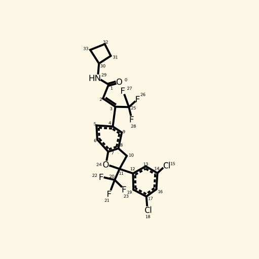 O=C(/C=C(/c1ccc2c(c1)CC(c1cc(Cl)cc(Cl)c1)(C(F)(F)F)O2)C(F)(F)F)NC1CCC1